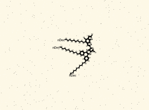 CCCCCCCCCCCCCCCCCCCCc1ccc(-c2nc3c(C)sc(-c4cc5c(CCCCCCCCCCCCCCCCCCCC)c(C)c6cc(C)sc6c5s4)c3nc2-c2ccc(CCCCCCCCCCCCCCCCCCCC)cc2)cc1